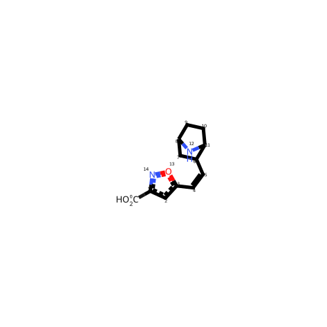 O=C(O)c1cc(/C=C\C2CC3CCC2N3)on1